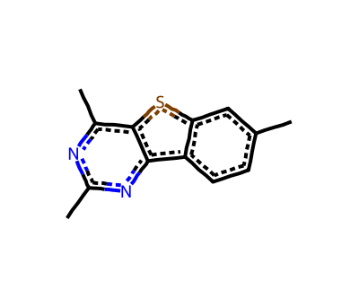 Cc1ccc2c(c1)sc1c(C)nc(C)nc12